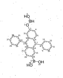 OBOc1ccc2c(-c3ccccc3)c3cc(B(O)O)ccc3c(-c3ccccc3)c2c1